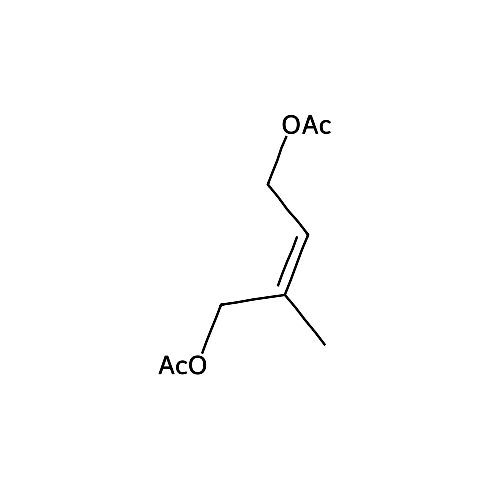 CC(=O)OC/C=C(/C)COC(C)=O